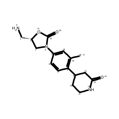 NC[C@H]1CN(c2ccc(C3CCNC(=O)C3)c(F)c2)C(=O)O1